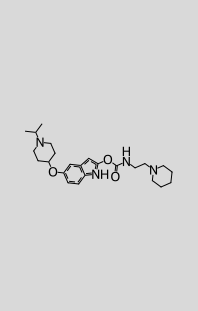 CC(C)N1CCC(Oc2ccc3[nH]c(OC(=O)NCCN4CCCCC4)cc3c2)CC1